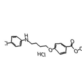 COC(=O)c1ccc(OCCCCNc2ccc(Cl)cc2)cc1.Cl